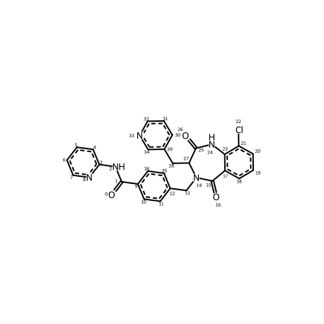 O=C(Nc1ccccn1)c1ccc(CN2C(=O)c3cccc(Cl)c3NC(=O)C2Cc2cccnc2)cc1